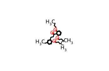 CCCCOc1ccc(CC)cc1CCC(=O)c1c(OCCCC)cccc1OCCCC